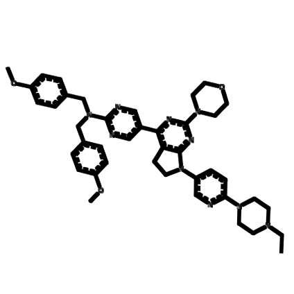 CCN1CCN(c2ccc(N3CCc4c(-c5cnc(N(Cc6ccc(OC)cc6)Cc6ccc(OC)cc6)nc5)nc(N5CCOCC5)nc43)cn2)CC1